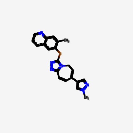 Cc1cc2ncccc2cc1Sc1nnc2n1CC=C(c1cnn(C)c1)C=C2